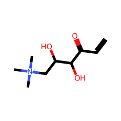 C=CC(=O)C(O)C(O)C[N+](C)(C)C